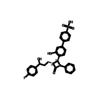 O=C1[C@H](CCC(O)c2ccc(F)cc2)[C@@H](c2ccc(-c3ccc(S(=O)(=O)O)cc3)cc2O)N1c1ccccc1